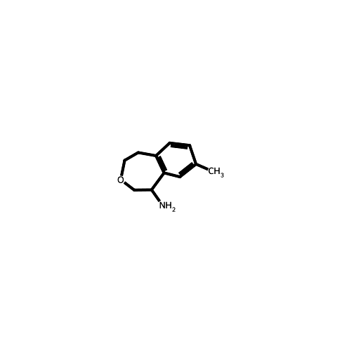 Cc1ccc2c(c1)C(N)COCC2